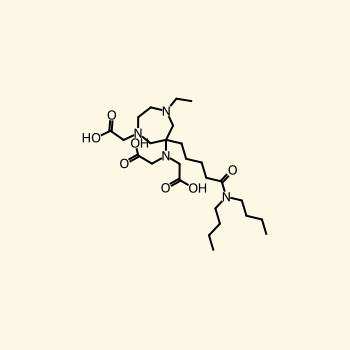 CCCCN(CCCC)C(=O)CCCCC1(N(CC(=O)O)CC(=O)O)CN(CC)CCN(CC(=O)O)C1